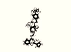 CS(=O)(=O)c1ccc(CN2CONC3(CCN(CC[C@H](NC(=O)C4CCCC4)c4ccccc4)CC3)C2=O)cc1